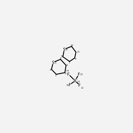 C1CCSCC1.C1CCSCC1.F[B-](F)(F)F